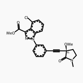 COC(=O)c1nn(-c2cccc(C#C[C@]3(OC)CCN(C)C3=O)c2)c2cccc(Cl)c12